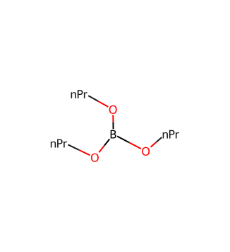 CCCOB(OCCC)OCCC